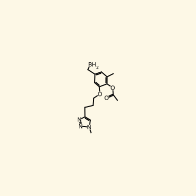 BCc1cc(C)c(OC(C)=O)c(OCCCc2cn(C)nn2)c1